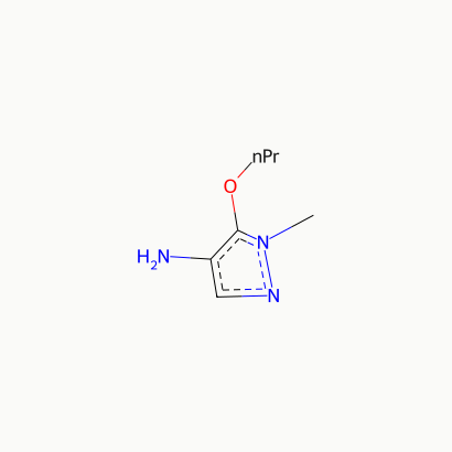 CCCOc1c(N)cnn1C